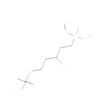 CO[Si](C)(CCC(N)CCNC(C)(C)C)OC